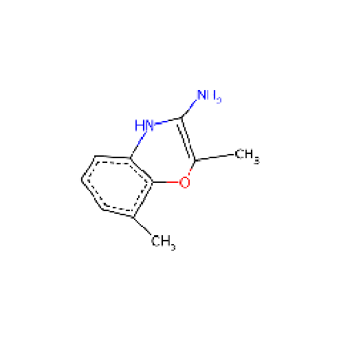 CC1=C(N)Nc2cccc(C)c2O1